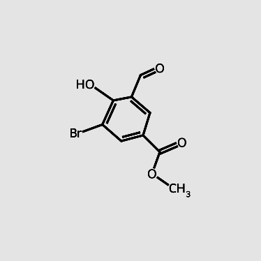 COC(=O)c1cc(Br)c(O)c(C=O)c1